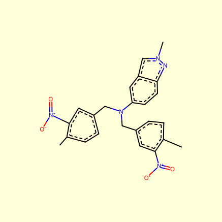 Cc1ccc(CN(Cc2ccc(C)c([N+](=O)[O-])c2)c2ccc3nn(C)cc3c2)cc1[N+](=O)[O-]